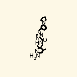 Cc1cc(N)nc(C)c1CNC(=O)c1ncn(Cc2cccc(N3CCCC3)c2)n1